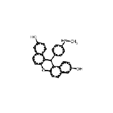 CNc1ccc(C2c3c(ccc4cc(O)ccc34)Oc3ccc4cc(O)ccc4c32)cc1